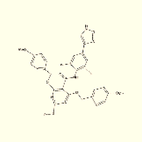 COc1ccc(COc2nc(SC(C)C)nc(OCc3ccc(OC)cc3)c2C(=O)Nc2c(F)cc(-c3c[nH]nn3)cc2F)cc1